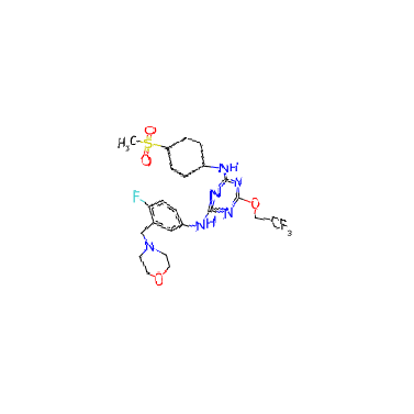 CS(=O)(=O)C1CCC(Nc2nc(Nc3ccc(F)c(CN4CCOCC4)c3)nc(OCC(F)(F)F)n2)CC1